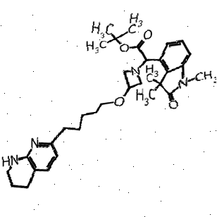 CN1C(=O)C(C)(C)c2c(C(C(=O)OC(C)(C)C)N3CC(OCCCCCc4ccc5c(n4)NCCC5)C3)cccc21